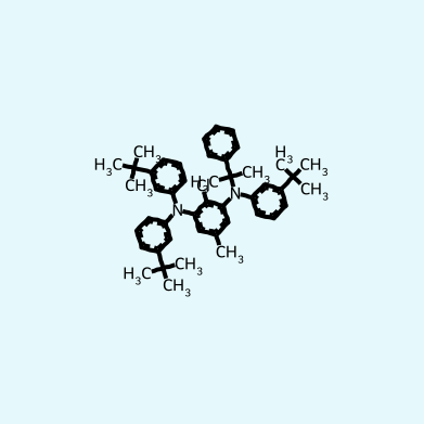 Cc1cc(N(c2cccc(C(C)(C)C)c2)c2cccc(C(C)(C)C)c2)c(Cl)c(N(c2cccc(C(C)(C)C)c2)C(C)(C)c2ccccc2)c1